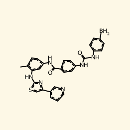 Bc1ccc(NC(=O)Nc2ccc(C(=O)Nc3ccc(C)c(Nc4nc(-c5cccnc5)cs4)c3)cc2)cc1